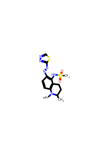 CCCN1c2ccc(N=Nc3nncs3)c(NS(=O)(=O)C(F)(F)F)c2CCC1C